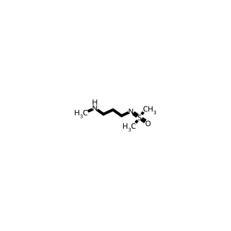 CNCCCN=S(C)(C)=O